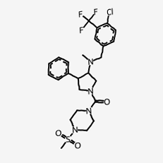 CN(Cc1ccc(Cl)c(C(F)(F)F)c1)C1CN(C(=O)N2CCN(S(C)(=O)=O)CC2)CC1c1ccccc1